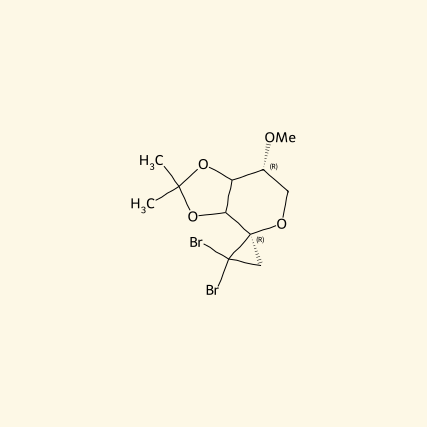 CO[C@@H]1CO[C@]2(CC2(Br)Br)C2OC(C)(C)OC21